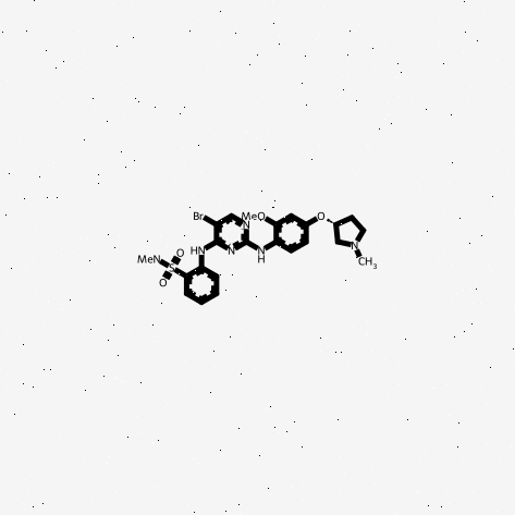 CNS(=O)(=O)c1ccccc1Nc1nc(Nc2ccc(O[C@@H]3CCN(C)C3)cc2OC)ncc1Br